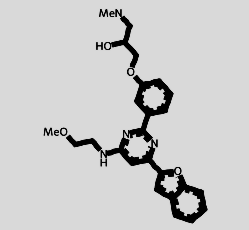 CNCC(O)COc1cccc(-c2nc(NCCOC)cc(-c3cc4ccccc4o3)n2)c1